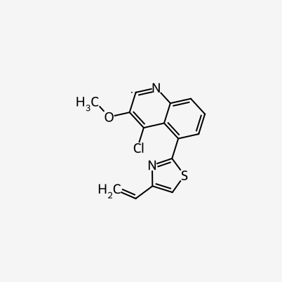 C=Cc1csc(-c2cccc3n[c]c(OC)c(Cl)c23)n1